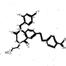 N=C(N)c1ccc(C=Cc2ccc3c(c2)C(=O)N(CCC(=O)O)CC(=O)N3Cc2ccc(F)cc2F)cc1